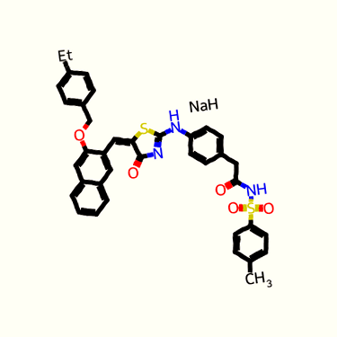 CCc1ccc(COc2cc3ccccc3cc2C=C2SC(Nc3ccc(CC(=O)NS(=O)(=O)c4ccc(C)cc4)cc3)=NC2=O)cc1.[NaH]